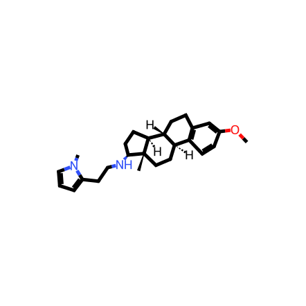 COc1ccc2c(c1)CC[C@@H]1[C@@H]2CC[C@]2(C)[C@@H](NCCc3cccn3C)CC[C@@H]12